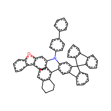 c1ccc(-c2ccc(N(c3ccc4c(c3)oc3ccccc34)c3cc4c(cc3-c3cccc5c3CCCC5)-c3ccccc3C43c4ccccc4-c4ccccc43)cc2)cc1